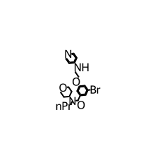 CCCN(C(=O)c1cc(Br)cc(OCCNc2ccncc2)c1)C1CCOCC1